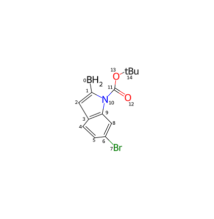 Bc1cc2ccc(Br)cc2n1C(=O)OC(C)(C)C